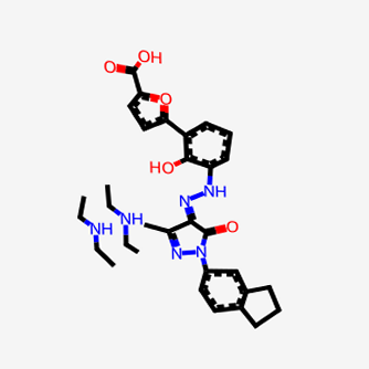 CC1=NN(c2ccc3c(c2)CCC3)C(=O)/C1=N\Nc1cccc(-c2ccc(C(=O)O)o2)c1O.CCNCC.CCNCC